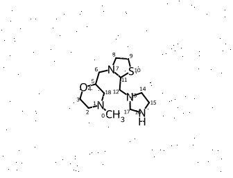 CN1CCOC(CN2CCSC2CN2CCNC2)C1